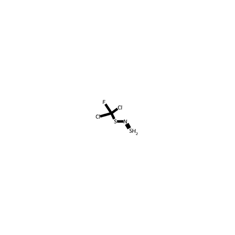 FC(Cl)(Cl)SN=[SH2]